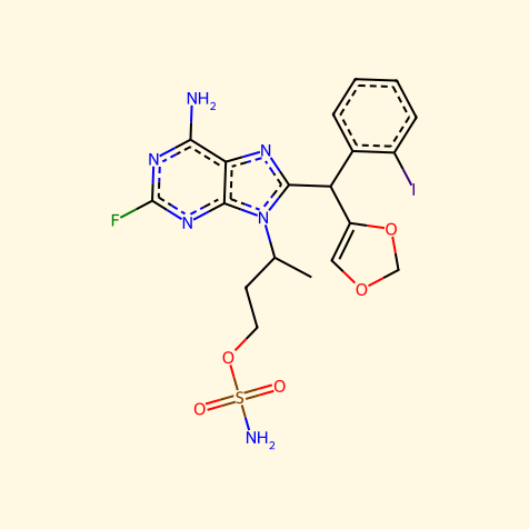 CC(CCOS(N)(=O)=O)n1c(C(C2=COCO2)c2ccccc2I)nc2c(N)nc(F)nc21